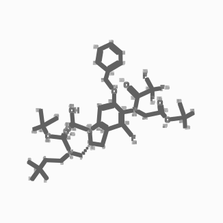 CC(C)(C)CCN(C[C@H]1Cc2c(cc(OCc3ccccc3)c(N(CC(=O)OC(C)(C)C)C(=O)C(F)(F)F)c2F)N1C(=O)O)C(=O)OC(C)(C)C